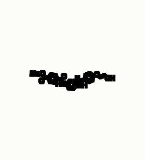 COC(=O)c1ccc(C(=O)Nc2ccc3[nH]c(-c4ccc(OCCO)cc4)nc3c2)cc1